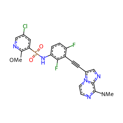 CNc1nccn2c(C#Cc3c(F)ccc(NS(=O)(=O)c4cc(Cl)cnc4OC)c3F)cnc12